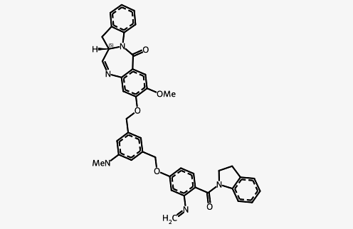 C=Nc1cc(OCc2cc(COc3cc4c(cc3OC)C(=O)N3c5ccccc5C[C@H]3C=N4)cc(NC)c2)ccc1C(=O)N1CCc2ccccc21